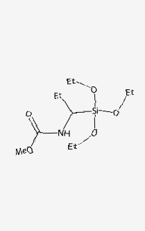 CCO[Si](OCC)(OCC)C(CC)NC(=O)OC